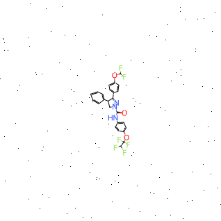 O=C(Nc1ccc(OC(F)(F)C(F)F)cc1)N1CC(c2ccccc2)C(c2ccc(OC(F)F)cc2)=N1